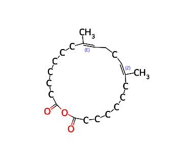 C/C1=C/CC/C=C(\C)CCCCCCC(=O)OC(=O)CCCCCC1